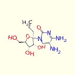 C=CC[C@@]1(n2cc(N)c(N)nc2=O)O[C@H](CO)[C@@H](O)[C@H]1O